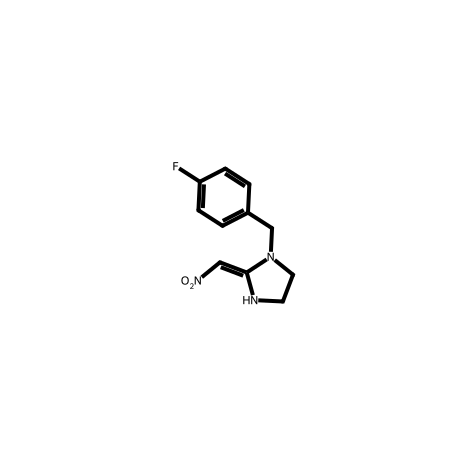 O=[N+]([O-])C=C1NCCN1Cc1ccc(F)cc1